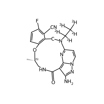 [2H]C([2H])([2H])C([2H])([2H])N1Cc2c(ccc(F)c2C#N)O[C@@H](C)CNC(=O)c2c(N)nn3ccc1nc23